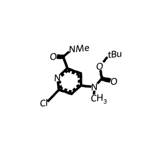 CNC(=O)c1cc(N(C)C(=O)OC(C)(C)C)cc(Cl)n1